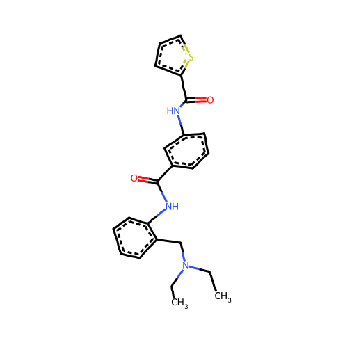 CCN(CC)Cc1ccccc1NC(=O)c1cccc(NC(=O)c2cccs2)c1